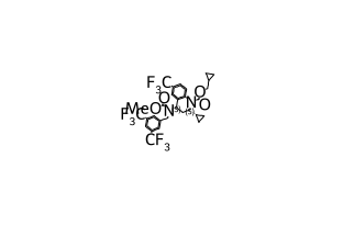 COC(=O)N(Cc1cc(C(F)(F)F)cc(C(F)(F)F)c1)[C@H]1C[C@@H](C2CC2)N(C(=O)OCC2CC2)c2ccc(C(F)(F)F)cc21